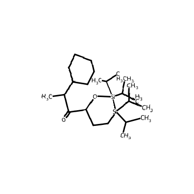 CC(C(=O)C1CC[Si](C(C)C)(C(C)C)[Si](C(C)C)(C(C)C)O1)C1CCCCC1